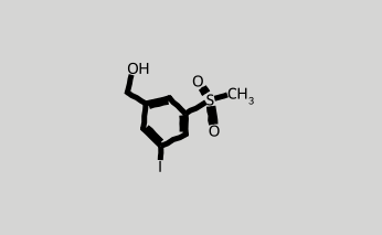 CS(=O)(=O)c1cc(I)cc(CO)c1